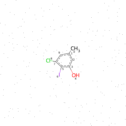 Cc1cc(O)c(I)c(Cl)c1